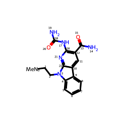 CNCCn1c2ccccc2c2cc(C(N)=O)c(NC(N)=O)nc21